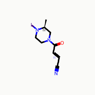 C[C@H]1CN(C(=O)/C=C/C#N)CCN1I